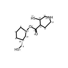 O=C(ON1CCC[C@@H](CS)C1)C1CCNCC1S